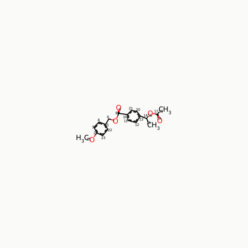 COc1ccc(COC(=O)c2ccc(C(C)OC(C)=O)cc2)cc1